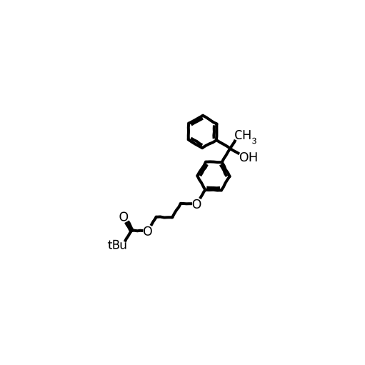 CC(C)(C)C(=O)OCCCOc1ccc(C(C)(O)c2ccccc2)cc1